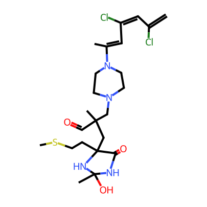 C=C(Cl)/C=C(Cl)\C=C(/C)N1CCN(CC(C)(C=O)CC2(CCSC)NC(C)(O)NC2=O)CC1